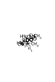 CC(=O)OC1CC(C)CCC1C(C)C.CC1CCC(C(C)C)C(OC(=O)[C@@H]2CCC(=O)N2)C1